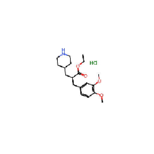 CCOC(=O)C(Cc1ccc(OC)c(OC)c1)CC1CCNCC1.Cl